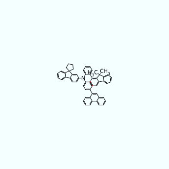 CC1(C)c2ccccc2-c2cccc(-c3ccccc3N(c3ccc(-c4cc5ccccc5c5ccccc45)cc3)c3ccc4c(c3)C3(CCCC3)c3ccccc3-4)c21